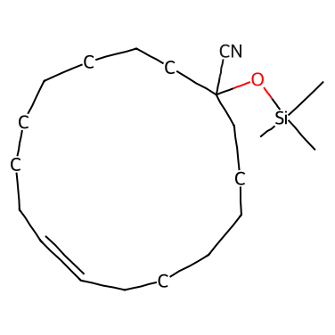 C[Si](C)(C)OC1(C#N)CCCCCCC=CCCCCCCC1